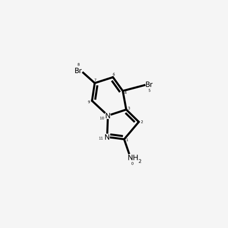 Nc1cc2c(Br)cc(Br)cn2n1